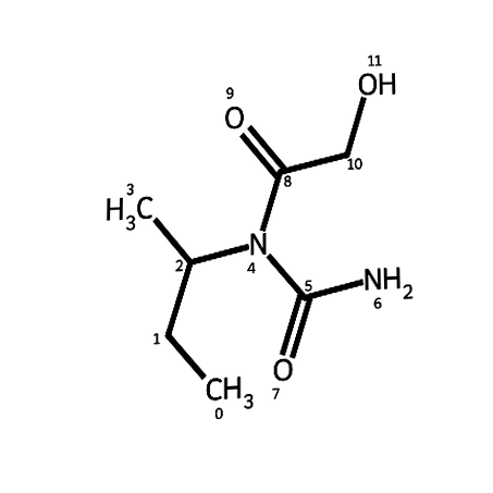 CCC(C)N(C(N)=O)C(=O)CO